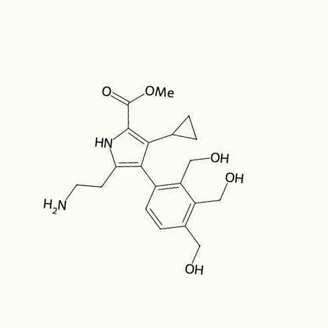 COC(=O)c1[nH]c(CCN)c(-c2ccc(CO)c(CO)c2CO)c1C1CC1